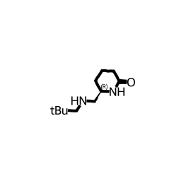 CC(C)(C)CNC[C@H]1CCCC(=O)N1